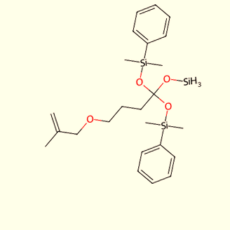 C=C(C)COCCCC(O[SiH3])(O[Si](C)(C)c1ccccc1)O[Si](C)(C)c1ccccc1